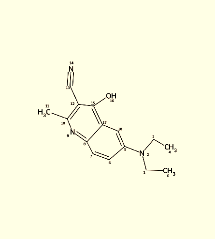 CCN(CC)c1ccc2nc(C)c(C#N)c(O)c2c1